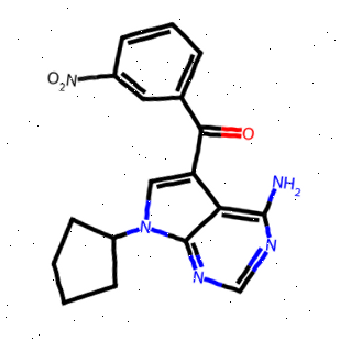 Nc1ncnc2c1c(C(=O)c1cccc([N+](=O)[O-])c1)cn2C1CCCC1